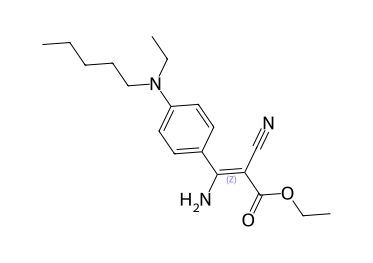 CCCCCN(CC)c1ccc(/C(N)=C(\C#N)C(=O)OCC)cc1